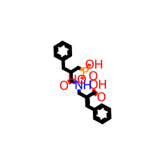 O=C(O)C(=Cc1ccccc1)CNC(=O)C(Cc1ccccc1)CP(=O)(O)O